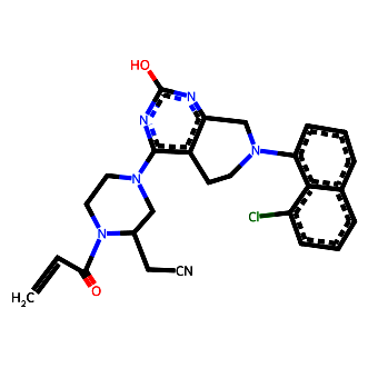 C=CC(=O)N1CCN(c2nc(O)nc3c2CCN(c2cccc4cccc(Cl)c24)C3)CC1CC#N